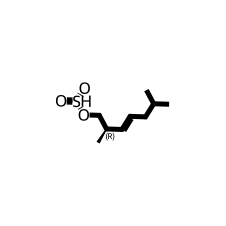 CC(C)CC=C[C@@H](C)CO[SH](=O)=O